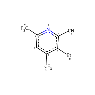 CCc1c(C(F)(F)F)cc(C(F)(F)F)nc1C#N